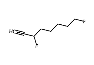 C#CC(F)CCCCCF